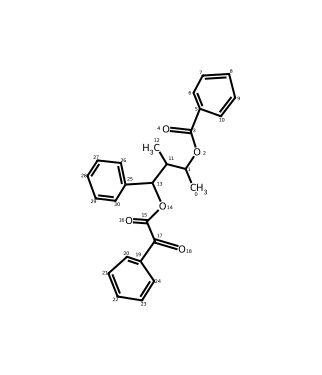 CC(OC(=O)c1ccccc1)C(C)C(OC(=O)C(=O)c1ccccc1)c1ccccc1